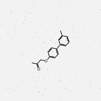 CC(=O)COc1ccc(-c2cccc(C)c2)cc1